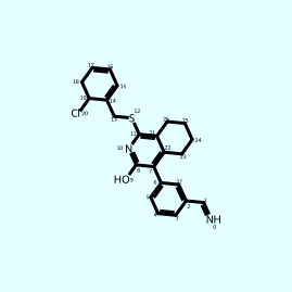 N=Cc1cccc(-c2c(O)nc(SCC3=CC=CCC3Cl)c3c2CCCC3)c1